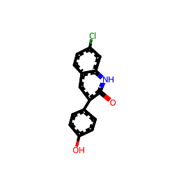 O=c1[nH]c2cc(Cl)ccc2cc1-c1ccc(O)cc1